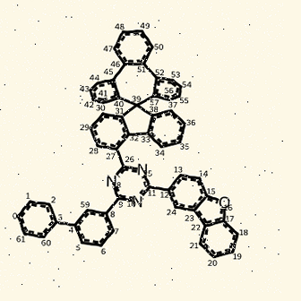 c1ccc(-c2cccc(-c3nc(-c4ccc5oc6ccccc6c5c4)nc(-c4cccc5c4-c4ccccc4C54c5ccccc5-c5ccccc5-c5ccccc54)n3)c2)cc1